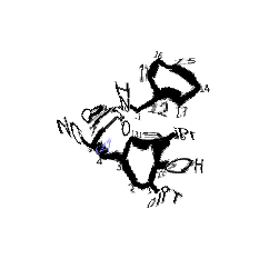 CC(C)c1cc(/C=C(/C#N)S(=O)(=O)NCc2ccccc2)cc(C(C)C)c1O